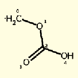 [CH2]OC(=O)O